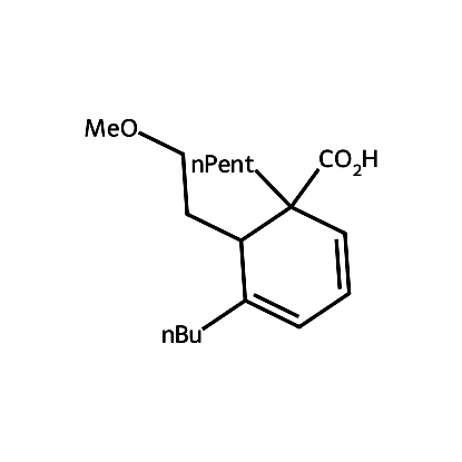 CCCCCC1(C(=O)O)C=CC=C(CCCC)C1CCOC